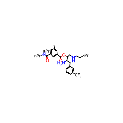 CCCN(CCC)C(=O)c1cc(C)cc(C(=O)OC(CNCCC(C)C)C(N)Cc2cccc(C(F)(F)F)c2)c1